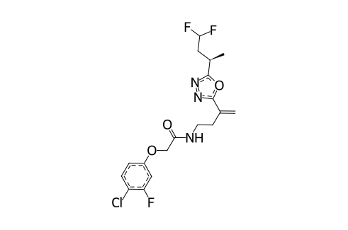 C=C(CCNC(=O)COc1ccc(Cl)c(F)c1)c1nnc([C@H](C)CC(F)F)o1